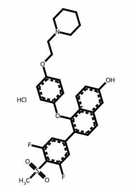 CS(=O)(=O)c1c(F)cc(-c2ccc3cc(O)ccc3c2Oc2ccc(OCCN3CCCCC3)cc2)cc1F.Cl